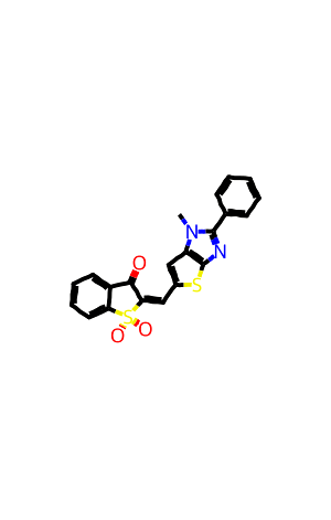 Cn1c(-c2ccccc2)nc2sc(/C=C3\C(=O)c4ccccc4S3(=O)=O)cc21